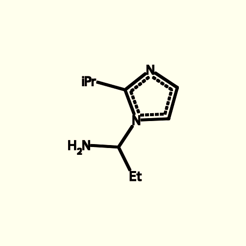 CCC(N)n1ccnc1C(C)C